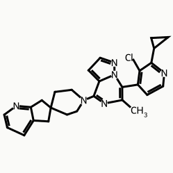 Cc1nc(N2CCC3(CC2)Cc2cccnc2C3)c2ccnn2c1-c1ccnc(C2CC2)c1Cl